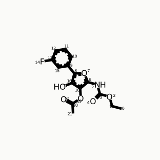 CCOC(=O)Nc1oc(-c2cccc(F)c2)c(O)c1OC(C)=O